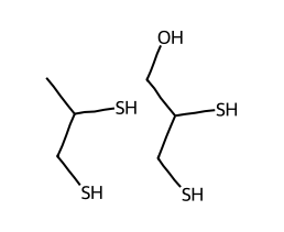 CC(S)CS.OCC(S)CS